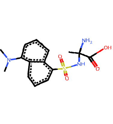 CN(C)c1cccc2c(S(=O)(=O)NC(C)(N)C(=O)O)cccc12